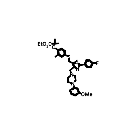 CCOC(=O)C(C)(C)Oc1ccc(SCc2sc(-c3ccc(F)cc3)nc2CN2CCN(c3cccc(OC)c3)CC2)cc1C